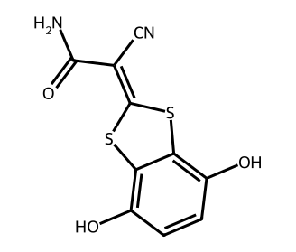 N#CC(C(N)=O)=C1Sc2c(O)ccc(O)c2S1